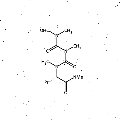 CNC(=O)[C@H](C(C)C)N(C)C(=O)N(C)C(=O)N(C)C=O